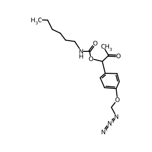 CCCCCCNC(=O)OC(C(C)=O)c1ccc(OCN=[N+]=[N-])cc1